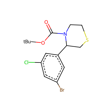 CC(C)(C)OC(=O)N1CCSCC1c1cc(Cl)cc(Br)c1